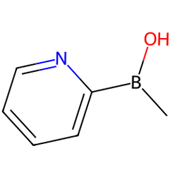 CB(O)c1ccccn1